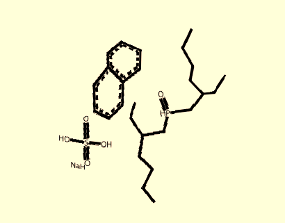 CCCCC(CC)C[PH](=O)CC(CC)CCCC.O=S(=O)(O)O.[NaH].c1ccc2ccccc2c1